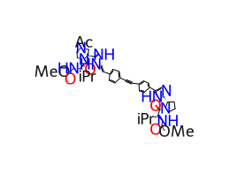 COC(=O)N[C@H](C(=O)N1CCN(C(C)=O)C[C@H]1C(=N)N/C=C/c1ccc(C#Cc2ccc(-c3cnc([C@@H]4CCCN4C(=O)[C@@H](NC(=O)OC)C(C)C)[nH]3)cc2)cc1)C(C)C